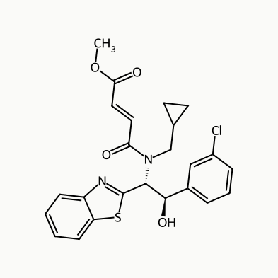 COC(=O)C=CC(=O)N(CC1CC1)[C@@H](c1nc2ccccc2s1)[C@H](O)c1cccc(Cl)c1